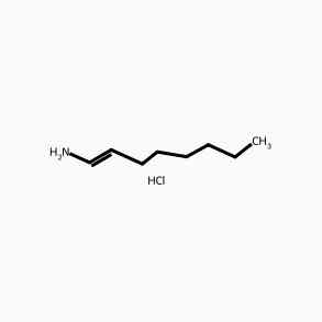 CCCCCCC=CN.Cl